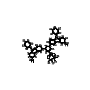 [2H]c1ccc2c(c1)c1cc(-c3cc(B4OC(C)(C)C(C)(C)O4)cc(-c4ccc5c(c4)c4cc([2H])ccc4n5-c4ccccc4)c3)ccc1n2-c1ccccc1